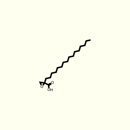 CCCCCCCCCCCCCCCCC1(C(=O)O)CO1